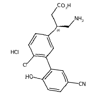 Cl.N#Cc1ccc(O)c(-c2cc([C@H](CN)CC(=O)O)ccc2Cl)c1